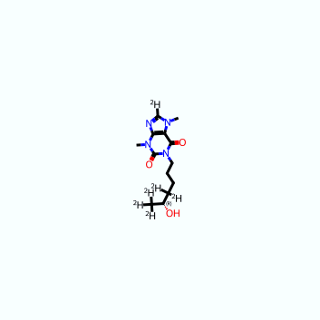 [2H]c1nc2c(c(=O)n(CCCC([2H])([2H])[C@H](O)C([2H])([2H])[2H])c(=O)n2C)n1C